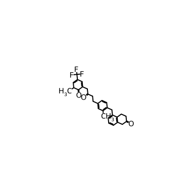 Cc1cc(CCC(=O)CC2=CC(C(F)(F)F)=CC(C)C2=O)ccc1Cc1cccc2c1CCC(=O)C2